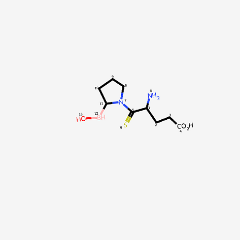 NC(CCC(=O)O)C(=S)N1CCCC1BO